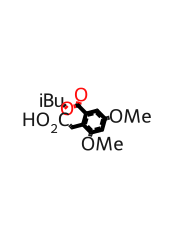 CCC(C)OC(=O)c1cc(OC)cc(OC)c1CC(=O)O